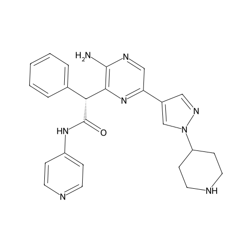 Nc1ncc(-c2cnn(C3CCNCC3)c2)nc1[C@H](C(=O)Nc1ccncc1)c1ccccc1